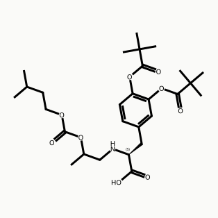 CC(C)CCOC(=O)OC(C)CN[C@@H](Cc1ccc(OC(=O)C(C)(C)C)c(OC(=O)C(C)(C)C)c1)C(=O)O